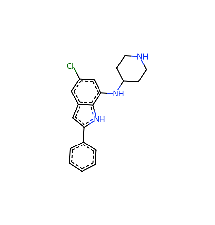 Clc1cc(NC2CCNCC2)c2[nH]c(-c3ccccc3)cc2c1